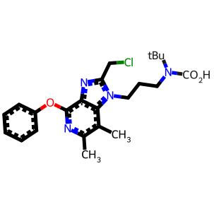 Cc1nc(Oc2ccccc2)c2nc(CCl)n(CCCN(C(=O)O)C(C)(C)C)c2c1C